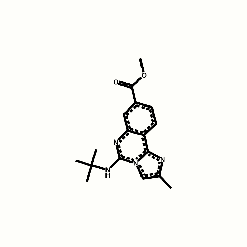 COC(=O)c1ccc2c(c1)nc(NC(C)(C)C)n1cc(C)nc21